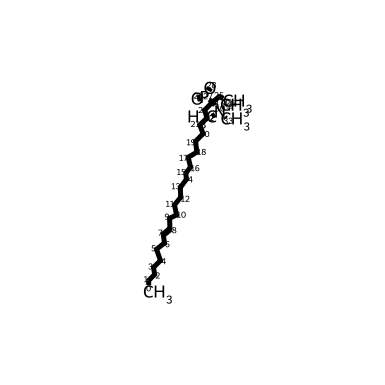 CCCCCCCC=CCCCCCCCCCCCCCCCC(CC)(P(=O)=O)[N+](C)(C)C